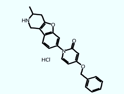 CC1Cc2oc3cc(-n4ccc(OCc5ccccc5)cc4=O)ccc3c2CN1.Cl